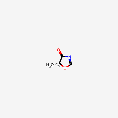 C[C@H]1OC=NC1=O